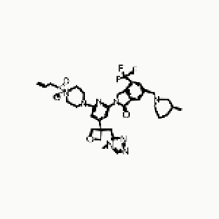 C=CCS(=O)(=O)N1CCN(c2cc(C3(Cc4nncn4C)COC3)cc(N3Cc4c(cc(CN5CCCC(C)C5)cc4C(F)(F)F)C3=O)n2)CC1